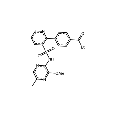 CCC(=O)c1ccc(-c2ncccc2S(=O)(=O)Nc2ncc(C)nc2OC)cc1